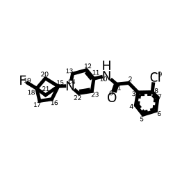 O=C(Cc1ccccc1Cl)NC1=CCN(C23CCC(F)(C2)C3)C=C1